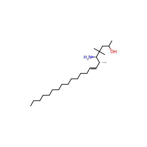 CCCCCCCCCCCCC/C=C/[C@@H](C)[C@@H](N)C(C)(C)CC(C)O